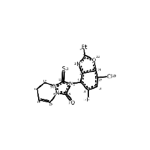 CCc1nc2c(-n3c(=O)n4n(c3=S)CCC=C4)c(F)cc(Cl)c2o1